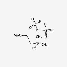 CC[N+](C)(C)CCOC.O=S(=O)(F)[N-]S(=O)(=O)F